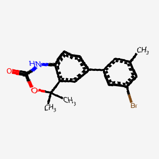 Cc1cc(Br)cc(-c2ccc3c(c2)C(C)(C)OC(=O)N3)c1